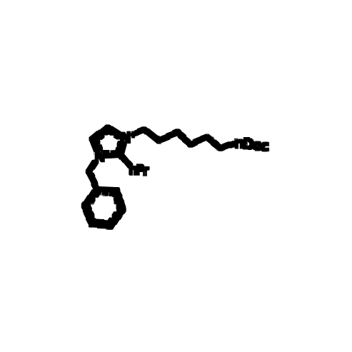 CCCCCCCCCCCCCCCC[n+]1ccn(Cc2ccccc2)c1CCC